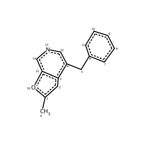 Cc1cc2c(Cc3ccccc3)cncc2o1